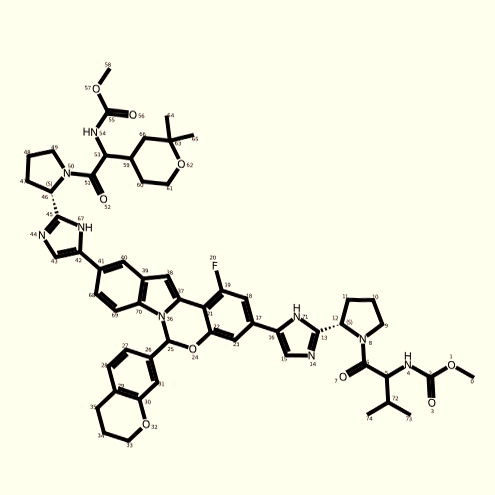 COC(=O)NC(C(=O)N1CCC[C@H]1c1ncc(-c2cc(F)c3c(c2)OC(c2ccc4c(c2)OCCC4)n2c-3cc3cc(-c4cnc([C@@H]5CCCN5C(=O)C(NC(=O)OC)C5CCOC(C)(C)C5)[nH]4)ccc32)[nH]1)C(C)C